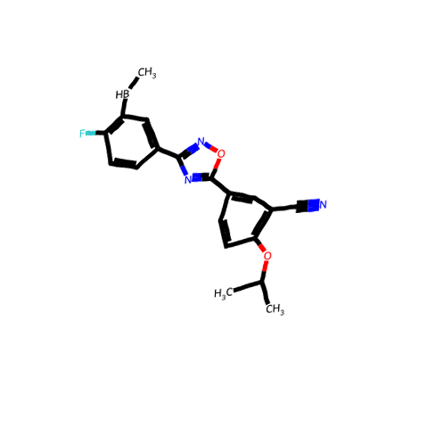 CBc1cc(-c2noc(-c3ccc(OC(C)C)c(C#N)c3)n2)ccc1F